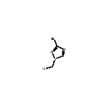 CC(C)Cn1cnc(Br)n1